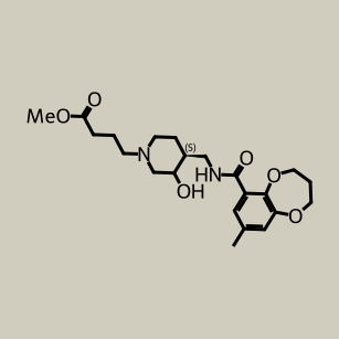 COC(=O)CCCN1CC[C@@H](CNC(=O)c2cc(C)cc3c2OCCCO3)C(O)C1